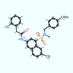 COc1ccc(CN(C)S(=O)(=O)c2cc(NC(=O)Cc3ccccc3Cl)cc3ccc(C#N)cc23)cc1